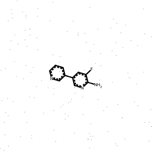 Nc1ncc(-c2cccnc2)cc1F